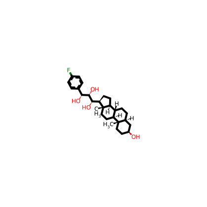 C[C@]12CC[C@H](O)C[C@@H]1CC[C@@H]1[C@@H]2CC[C@]2(C)[C@@H]([C@H](O)[C@@H](O)[C@H](O)c3ccc(F)cc3)CC[C@@H]12